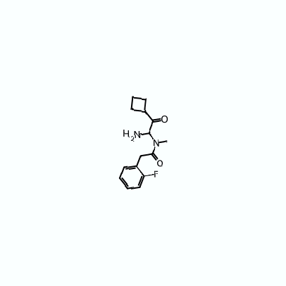 CN(C(=O)Cc1ccccc1F)C(N)C(=O)C1CCC1